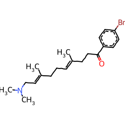 C/C(=C\CN(C)C)CC/C=C(\C)CCC(=O)c1ccc(Br)cc1